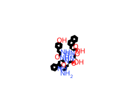 NCCCC[C@H](NC(=O)[C@@H](Cc1c[nH]c2ccccc12)NC(=O)[C@@H](N)Cc1ccc(O)cc1)C(=O)N[C@@H](CO)C(=O)N[C@@H](Cc1ccc2ccccc2c1)C(=O)O